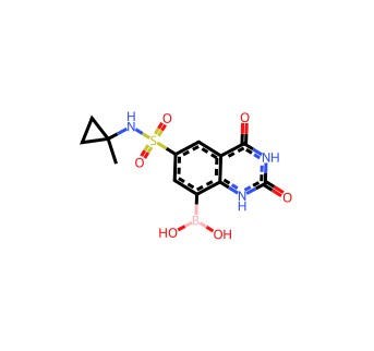 CC1(NS(=O)(=O)c2cc(B(O)O)c3[nH]c(=O)[nH]c(=O)c3c2)CC1